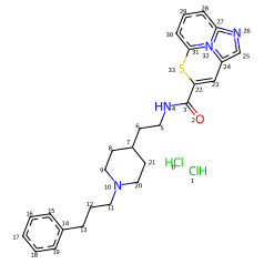 Cl.Cl.O=C(NCCC1CCN(CCCc2ccccc2)CC1)C1=Cc2cnc3cccc(n23)S1